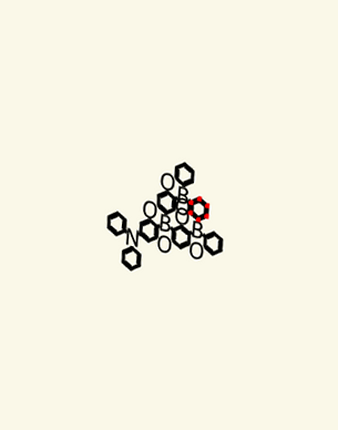 c1ccc(N(c2ccccc2)c2cc3c4c(c2)Oc2cc5c6c(c2B4c2c(cc4c7c2Oc2ccccc2B7c2ccccc2O4)O3)Oc2ccccc2B6c2ccccc2O5)cc1